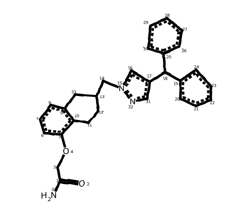 NC(=O)COc1cccc2c1CCC(Cn1cc(C(c3ccccc3)c3ccccc3)cn1)C2